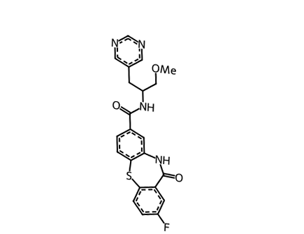 COCC(Cc1cncnc1)NC(=O)c1ccc2c(c1)NC(=O)c1cc(F)ccc1S2